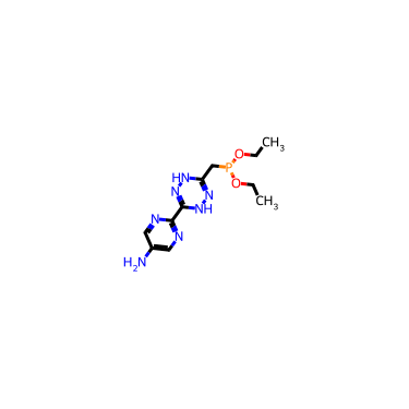 CCOP(CC1=NNC(c2ncc(N)cn2)=NN1)OCC